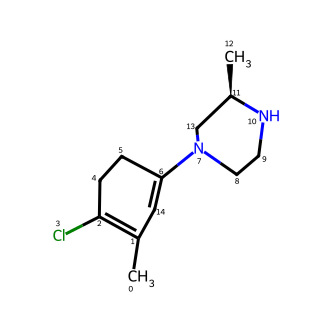 CC1=C(Cl)CCC(N2CCN[C@H](C)C2)=C1